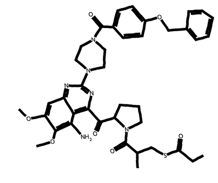 CCC(=O)SCC(C)C(=O)N1CCCC1C(=O)c1nc(N2CCN(C(=O)c3ccc(OCc4ccccc4)cc3)CC2)nc2cc(OC)c(OC)c(N)c12